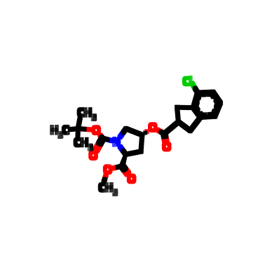 COC(=O)[C@@H]1C[C@@H](OC(=O)C2Cc3cccc(Cl)c3C2)CN1C(=O)OC(C)(C)C